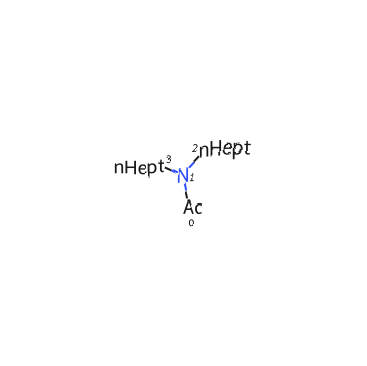 [CH2]C(=O)N(CCCCCCC)CCCCCCC